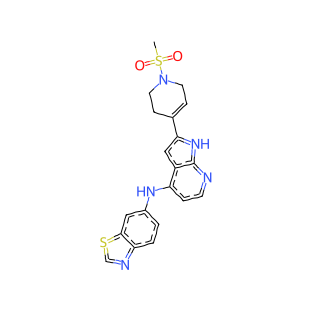 CS(=O)(=O)N1CC=C(c2cc3c(Nc4ccc5ncsc5c4)ccnc3[nH]2)CC1